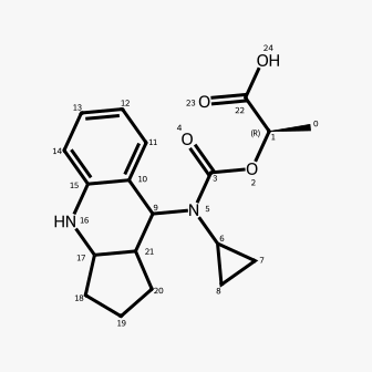 C[C@@H](OC(=O)N(C1CC1)C1c2ccccc2NC2CCCC21)C(=O)O